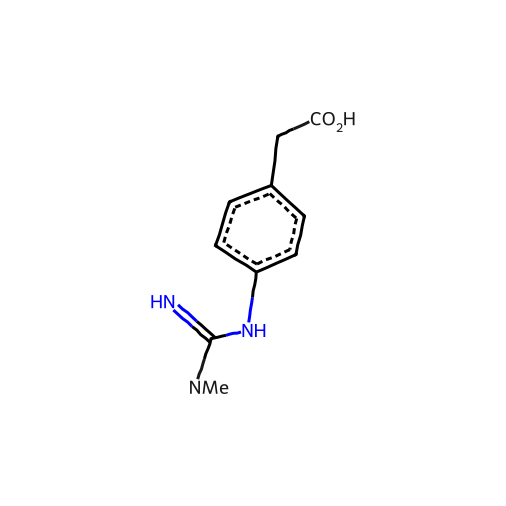 CNC(=N)Nc1ccc(CC(=O)O)cc1